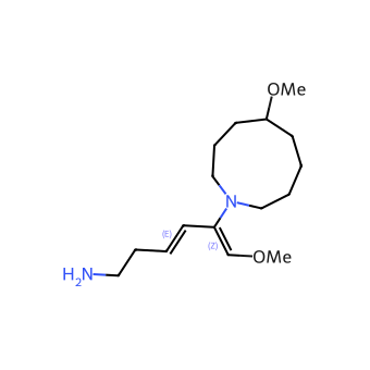 CO/C=C(/C=C/CCN)N1CCCCC(OC)CCC1